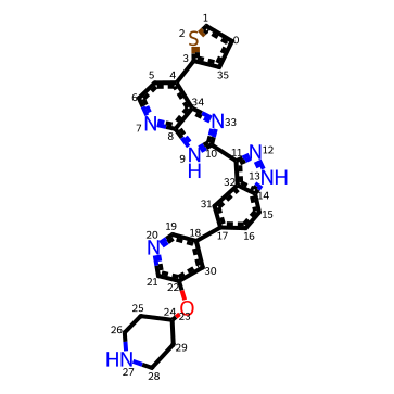 c1csc(-c2ccnc3[nH]c(-c4n[nH]c5ccc(-c6cncc(OC7CCNCC7)c6)cc45)nc23)c1